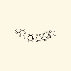 COc1cccc(CC2CCN(C3CCC(O)(c4ccc5c(c4)OCCO5)CC3)CC2)c1